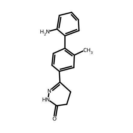 Cc1cc(C2=NNC(=O)CC2)ccc1-c1ccccc1N